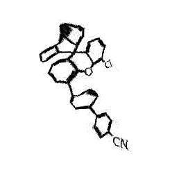 N#Cc1ccc(-c2ccc(-c3cccc4c3Oc3c(Cl)cccc3C43c4ccccc4-c4ccccc43)cc2)cc1